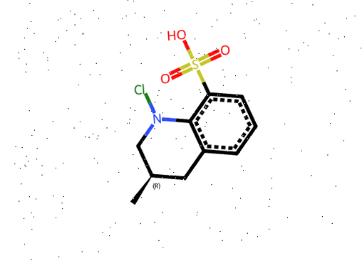 C[C@@H]1Cc2cccc(S(=O)(=O)O)c2N(Cl)C1